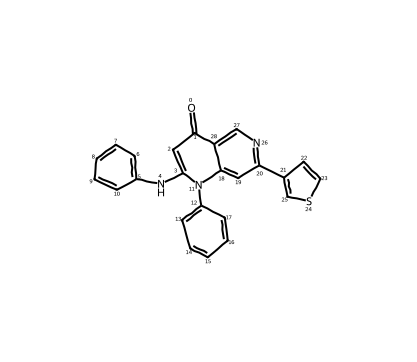 O=c1cc(Nc2ccccc2)n(-c2ccccc2)c2cc(-c3ccsc3)ncc12